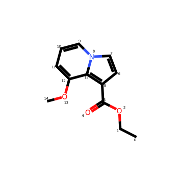 CCOC(=O)c1ccn2cccc(OC)c12